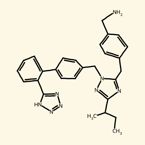 CCC(C)c1nc(Cc2ccc(CN)cc2)n(Cc2ccc(-c3ccccc3-c3nnn[nH]3)cc2)n1